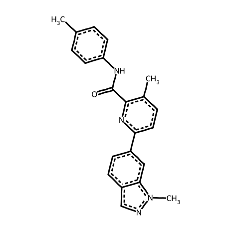 Cc1ccc(NC(=O)c2nc(-c3ccc4cnn(C)c4c3)ccc2C)cc1